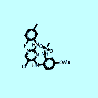 COc1ccc(Nc2nc(Nc3cc(C)ccc3F)ncc2Cl)c(NS(C)(=O)=O)c1